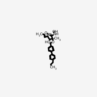 CCCc1ccc(-c2ccc(CO[C@](C)(C(=O)NO)[C@@H](O)c3cc(C)on3)cc2)cc1